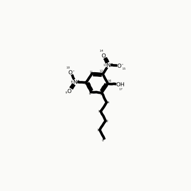 CCCCCc1cc([N+](=O)[O-])cc([N+](=O)[O-])c1O